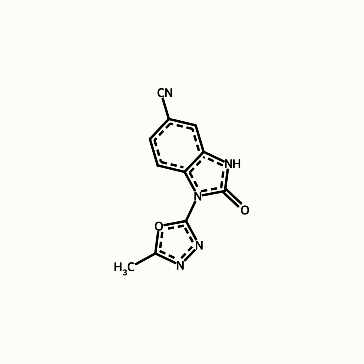 Cc1nnc(-n2c(=O)[nH]c3cc(C#N)ccc32)o1